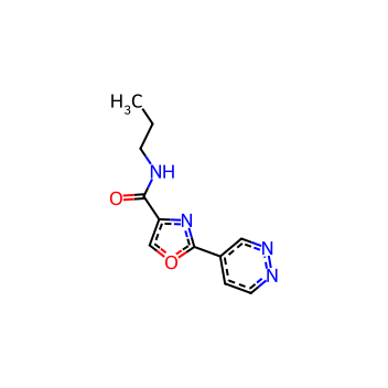 CCCNC(=O)c1coc(-c2ccnnc2)n1